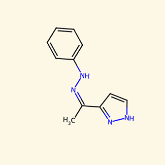 CC(=NNc1ccccc1)c1cc[nH]n1